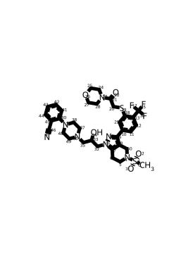 CS(=O)(=O)N1CCc2c(c(-c3ccc(C(F)(F)F)c(SCC(=O)N4CCOCC4)c3)nn2CC(O)CN2CCN(c3ccccc3C#N)CC2)C1